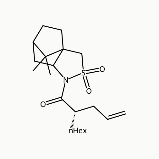 C=CC[C@H](CCCCCC)C(=O)N1C2CC3CCC2(CS1(=O)=O)C3(C)C